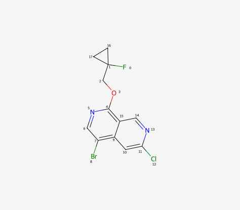 FC1(COc2ncc(Br)c3cc(Cl)ncc23)CC1